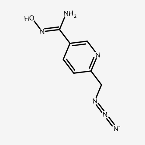 [N-]=[N+]=NCc1ccc(/C(N)=N/O)cn1